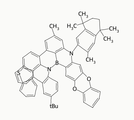 Cc1cc2c3c(c1)N(c1cc4c(cc1C)C(C)(C)CCC4(C)C)c1cc4c(cc1B3N(c1ccc(C(C)(C)C)cc1-c1ccccc1)c1c-2ccc2sc3ccccc3c12)Oc1ccccc1O4